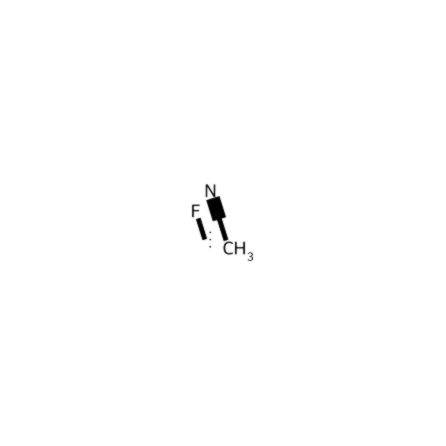 CC#N.[C]F